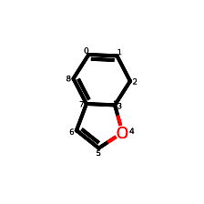 C1=CC[C]2OC=CC2=C1